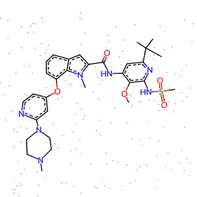 COc1c(NC(=O)c2cc3cccc(Oc4ccnc(N5CCN(C)CC5)c4)c3n2C)cc(C(C)(C)C)nc1NS(C)(=O)=O